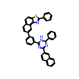 c1ccc(-c2nc3c(ccc4ccc(-c5cccc(C6=NC(c7ccc8ccccc8c7)=NC(c7ccccc7)N6)c5)cc43)s2)cc1